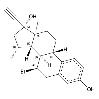 C#C[C@]1(O)C[C@@H](C)[C@H]2[C@@H]3[C@H](CC)Cc4cc(O)ccc4[C@H]3CC[C@@]21C